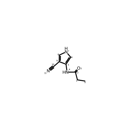 CCC(=O)Nc1c[nH]cc1C#N